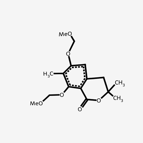 COCOc1cc2c(c(OCOC)c1C)C(=O)OC(C)(C)C2